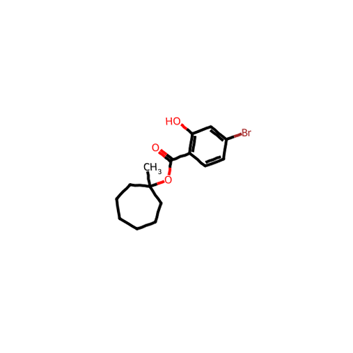 CC1(OC(=O)c2ccc(Br)cc2O)CCCCCC1